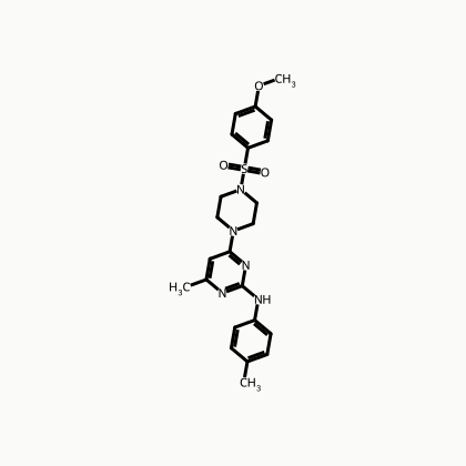 COc1ccc(S(=O)(=O)N2CCN(c3cc(C)nc(Nc4ccc(C)cc4)n3)CC2)cc1